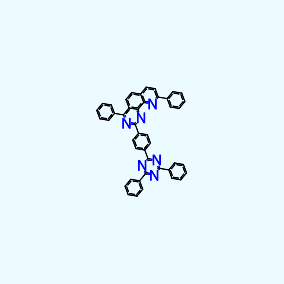 c1ccc(-c2ccc3ccc4c(-c5ccccc5)nc(-c5ccc(-c6nc(-c7ccccc7)nc(-c7ccccc7)n6)cc5)nc4c3n2)cc1